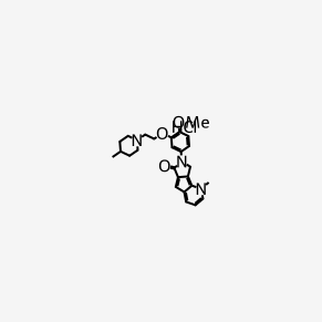 COc1ccc(N2Cc3c(cc4cccn(C)c3-4)C2=O)cc1OCCN1CCC(C)CC1.Cl